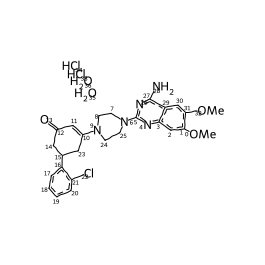 COc1cc2nc(N3CCN(C4=CC(=O)CC(c5ccccc5Cl)C4)CC3)nc(N)c2cc1OC.Cl.Cl.O.O